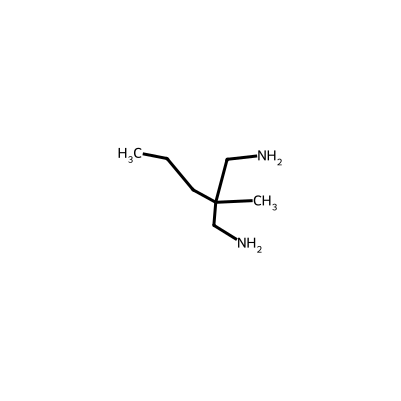 CCCC(C)(CN)CN